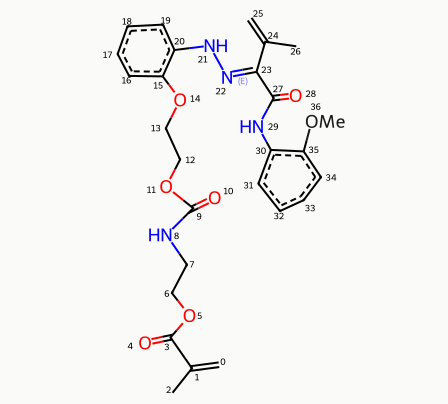 C=C(C)C(=O)OCCNC(=O)OCCOc1ccccc1N/N=C(\C(=C)C)C(=O)Nc1ccccc1OC